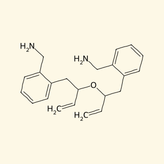 C=CC(Cc1ccccc1CN)OC(C=C)Cc1ccccc1CN